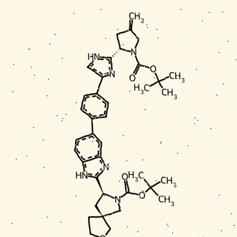 C=C1C[C@@H](c2nc(-c3ccc(-c4ccc5[nH]c([C@@H]6C[C@@]7(CCOC7)CN6C(=O)OC(C)(C)C)nc5c4)cc3)c[nH]2)N(C(=O)OC(C)(C)C)C1